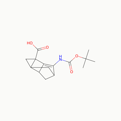 CC(C)(C)OC(=O)NC1=C2C3CC1CC31CC21C(=O)O